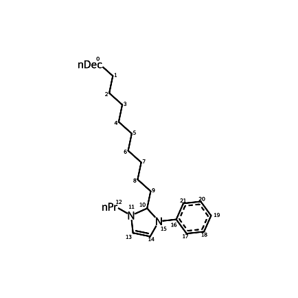 CCCCCCCCCCCCCCCCCCCC1N(CCC)C=CN1c1ccccc1